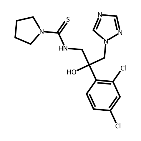 OC(CNC(=S)N1CCCC1)(Cn1cncn1)c1ccc(Cl)cc1Cl